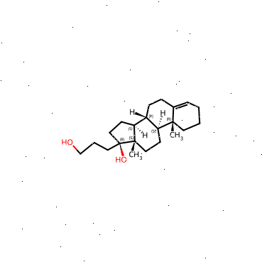 C[C@]12CCCC=C1CC[C@@H]1[C@@H]2CC[C@@]2(C)[C@H]1CC[C@@]2(O)CCCO